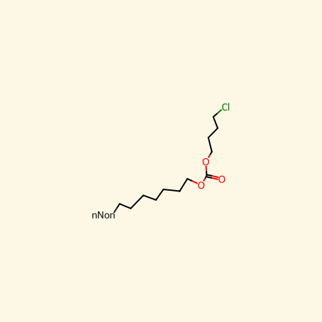 CCCCCCCCCCCCCCCCOC(=O)OCCCCCl